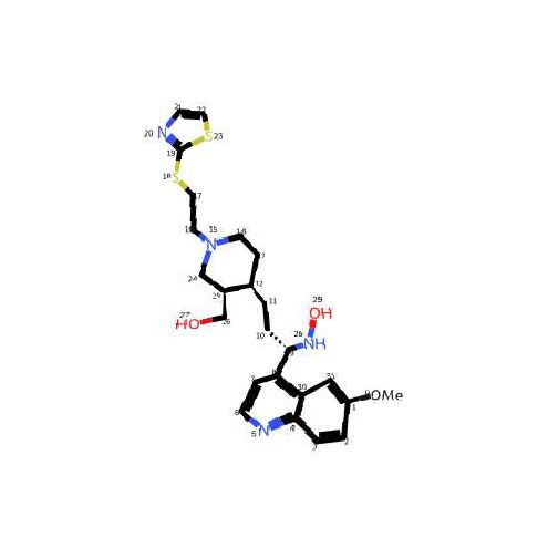 COc1ccc2nccc([C@H](CC[C@@H]3CCN(CCSc4nccs4)C[C@@H]3CO)NO)c2c1